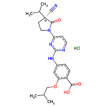 CC(C)COc1cc(Nc2nccc(N3CC[C@@](C#N)(C(C)C)C3=O)n2)ccc1C(=O)O.Cl